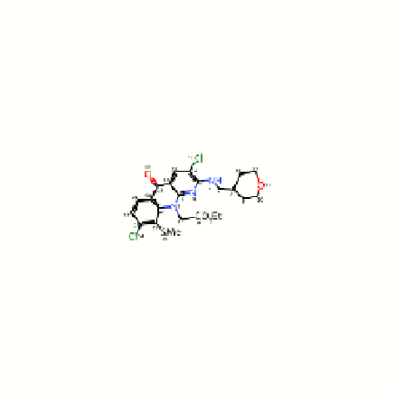 CCOC(=O)Cn1c2nc(NCC3CCOCC3)c(Cl)cc2c(=O)c2ccc(Cl)c(SC)c21